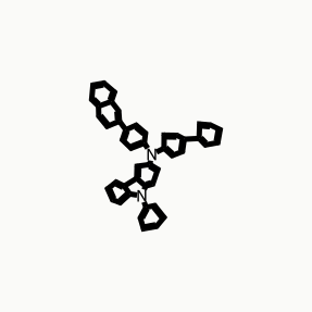 c1ccc(-c2ccc(N(c3ccc(-c4ccc5ccccc5c4)cc3)c3ccc4c(c3)c3ccccc3n4-c3ccccc3)cc2)cc1